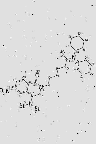 CCN(CC)CCN(CCCCCC(=O)N(C1CCCCC1)C1CCCCC1)C(=O)c1ccc([N+](=O)[O-])cc1